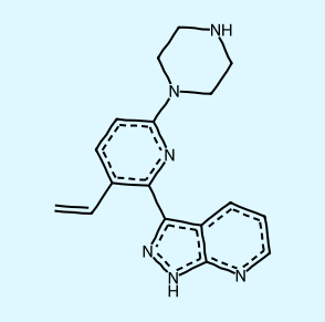 C=Cc1ccc(N2CCNCC2)nc1-c1n[nH]c2ncccc12